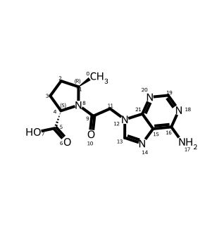 C[C@@H]1CC[C@@H](C(=O)O)N1C(=O)Cn1cnc2c(N)ncnc21